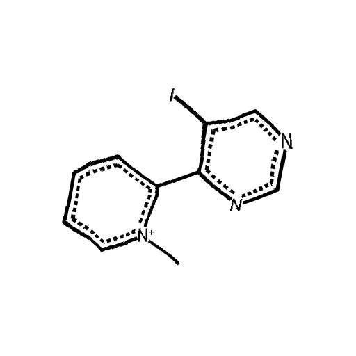 C[n+]1ccccc1-c1ncncc1I